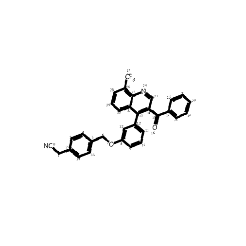 N#CCc1ccc(COc2cccc(-c3c(C(=O)c4ccccc4)cnc4c(C(F)(F)F)cccc34)c2)cc1